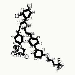 O=C1CN(c2ccc(Cn3cc(-c4ccc(Cl)cc4Cl)nc3C=Cc3ccc(-c4cccc(OCCCC(F)(F)F)c4)cc3)cc2)S(=O)(=O)N1